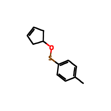 Cc1ccc(SOC2CC=CC2)cc1